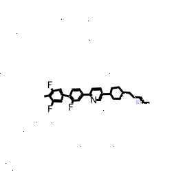 C/C=C/CCC1CCC(c2ccc(-c3ccc(-c4cc(F)c(C)c(F)c4)c(F)c3)nc2)CC1